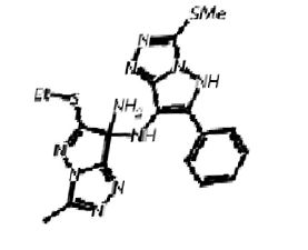 CCSC1=Nn2c(C)nnc2C1(N)Nc1c(-c2ccccc2)[nH]n2c(SC)nnc12